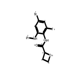 CC(C)Nc1cc(Br)cc(F)c1NC(=O)C1CCO1